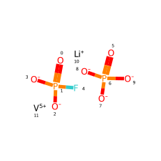 O=P([O-])([O-])F.O=P([O-])([O-])[O-].[Li+].[V+5]